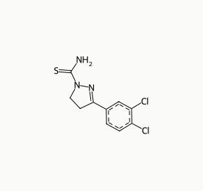 NC(=S)N1CCC(c2ccc(Cl)c(Cl)c2)=N1